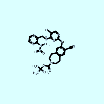 CN(c1nccnc1CNc1nc(Nc2cc3c(cc2C#N)CCN(C(=O)OC(C)(C)C)CC3)ncc1Cl)[SH](=O)=O